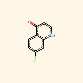 O=c1cc[nH]c2cc(F)ccc12